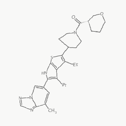 CCc1c(C2CCN(C(=O)[C@H]3CCCOC3)CC2)sc2[nH]c(-c3cc(C)c4ncnn4c3)c(C(C)C)c12